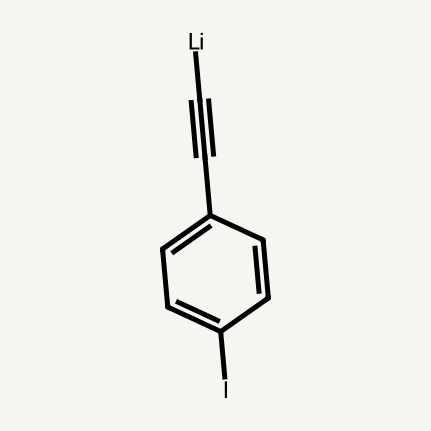 [Li][C]#Cc1ccc(I)cc1